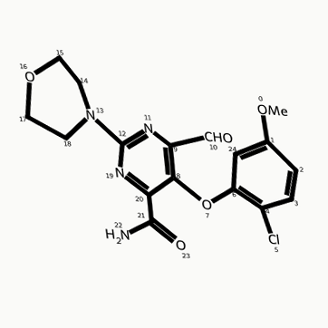 COc1ccc(Cl)c(Oc2c(C=O)nc(N3CCOCC3)nc2C(N)=O)c1